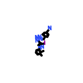 Cc1cccc(-n2cc(-c3nnnn3Cc3ccc(C#N)cc3)c(I)n2)c1C